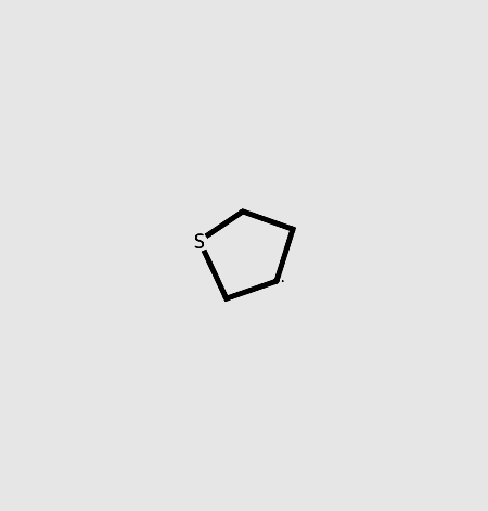 [CH]1CCSC1